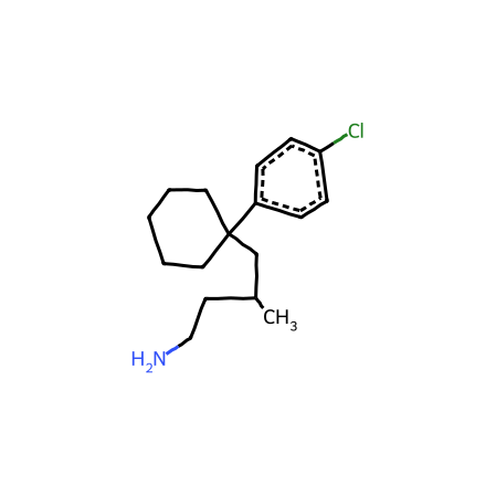 CC(CCN)CC1(c2ccc(Cl)cc2)CCCCC1